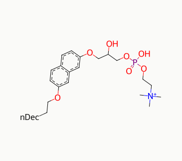 CCCCCCCCCCCCOc1ccc2ccc(OCC(O)COP(=O)(O)OCC[N+](C)(C)C)cc2c1